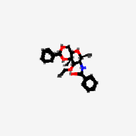 CC(=O)CO[C@@H]1C(NC(=O)c2ccccc2)[C@H](C#N)OC2COC(c3ccccc3)O[C@@H]21